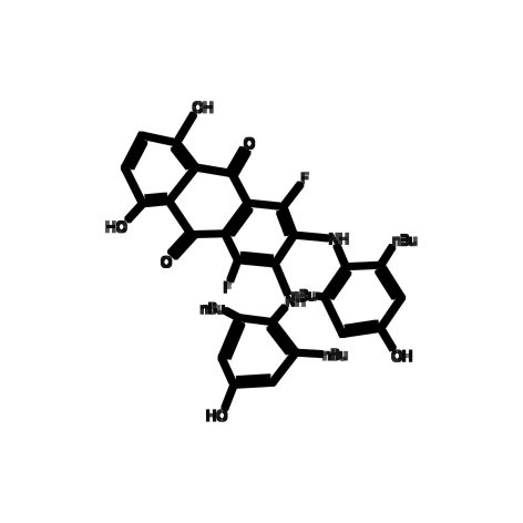 CCCCc1cc(O)cc(CCCC)c1Nc1c(F)c2c(c(F)c1Nc1c(CCCC)cc(O)cc1CCCC)C(=O)c1c(O)ccc(O)c1C2=O